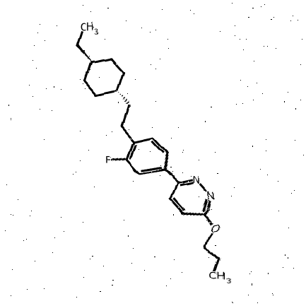 CCCOc1ccc(-c2ccc(CC[C@H]3CC[C@H](CC)CC3)c(F)c2)nn1